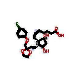 O=C(O)CCC/C=C\C[C@@H]1[C@@H](/C=C/C2(COc3ccc(F)cc3)OCCO2)[C@H](O)C[C@H]1O